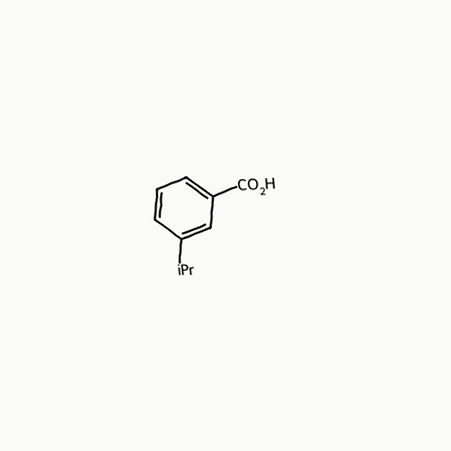 [CH2]C(C)c1cccc(C(=O)O)c1